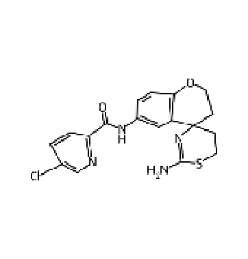 NC1=NC2(CCOc3ccc(NC(=O)c4ccc(Cl)cn4)cc32)CCS1